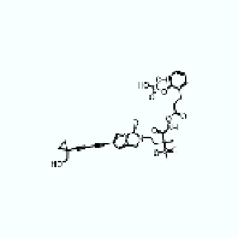 C[C@@](CCN1Cc2cc(C#CC#CC3(CO)CC3)cn2C1=O)(C(=O)NOC(=O)CCc1ccccc1OP(=O)(O)O)S(C)(=O)=O